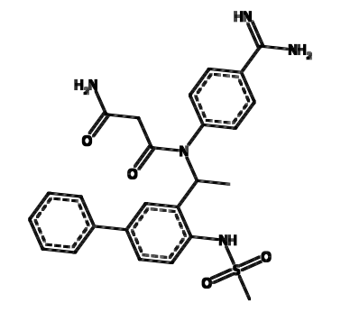 CC(c1cc(-c2ccccc2)ccc1NS(C)(=O)=O)N(C(=O)CC(N)=O)c1ccc(C(=N)N)cc1